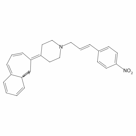 O=[N+]([O-])c1ccc(C=CCN2CCC(=C3C=CC=C4C=CC=CC45CC=CC=C35)CC2)cc1